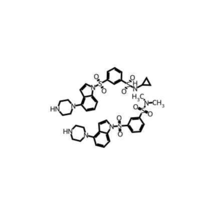 CN(C)S(=O)(=O)c1cccc(S(=O)(=O)n2ccc3c(N4CCNCC4)cccc32)c1.O=S(=O)(NC1CC1)c1cccc(S(=O)(=O)n2ccc3c(N4CCNCC4)cccc32)c1